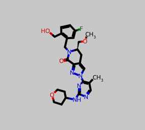 COC[C@H]1Cc2cn(-c3nc(NC4CCOCC4)ncc3C)nc2C(=O)N1Cc1cc(F)ccc1CO